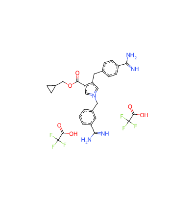 N=C(N)c1ccc(Cc2cn(Cc3cccc(C(=N)N)c3)cc2C(=O)OCC2CC2)cc1.O=C(O)C(F)(F)F.O=C(O)C(F)(F)F